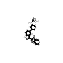 CC(C)(C)C(O)Nc1cncc(-c2ccc3[nH]nc(-c4nc5ccncc5[nH]4)c3c2)c1